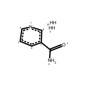 NC(=O)c1cccnc1.[HH].[HH]